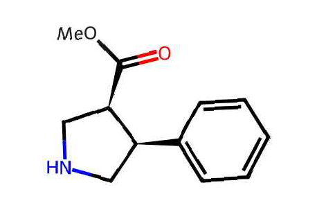 COC(=O)[C@@H]1CNC[C@@H]1c1ccccc1